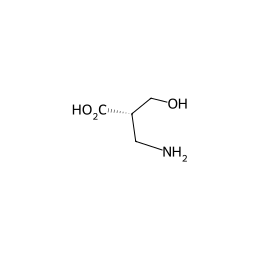 NC[C@@H](CO)C(=O)O